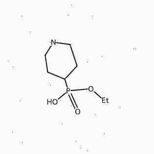 CCOP(=O)(O)C1CC[N]CC1